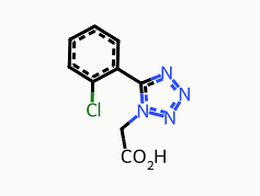 O=C(O)Cn1nnnc1-c1ccccc1Cl